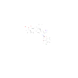 Cc1noc(-c2ccc(-c3ccc(C4(C(=O)O)CC4)cc3)c3c2CCCC3)c1NC(=O)OC(C)c1ccccc1Cl